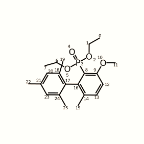 CCOP(=O)(OCC)c1c(OC)ccc(C)c1-c1c(C)cc(C)cc1C